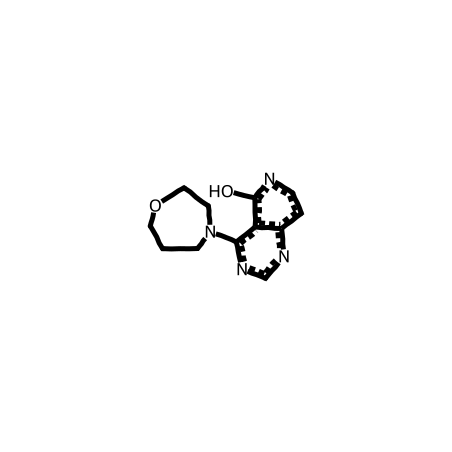 Oc1nccc2ncnc(N3CCCOCC3)c12